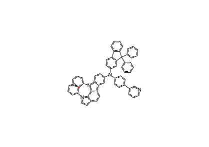 c1ccc(-n2ccc3ccc4c5cc(N(c6ccc(-c7cccnc7)cc6)c6ccc7c(c6)C(c6ccccc6)(c6ccccc6)c6ccccc6-7)ccc5n(-c5ccccc5)c4c32)cc1